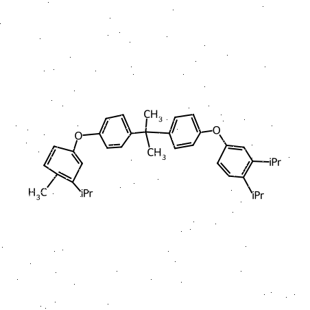 Cc1ccc(Oc2ccc(C(C)(C)c3ccc(Oc4ccc(C(C)C)c(C(C)C)c4)cc3)cc2)cc1C(C)C